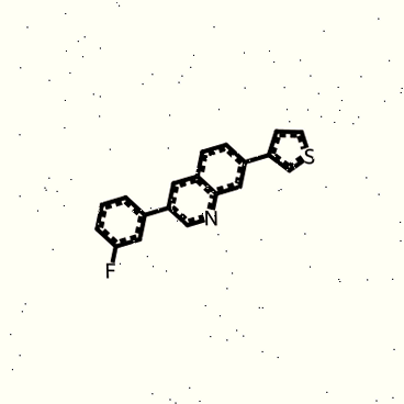 Fc1cccc(-c2cnc3cc(-c4ccsc4)ccc3c2)c1